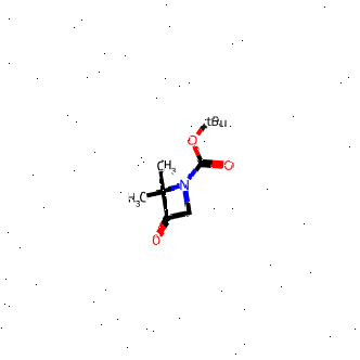 CC(C)(C)OC(=O)N1CC(=O)C1(C)C